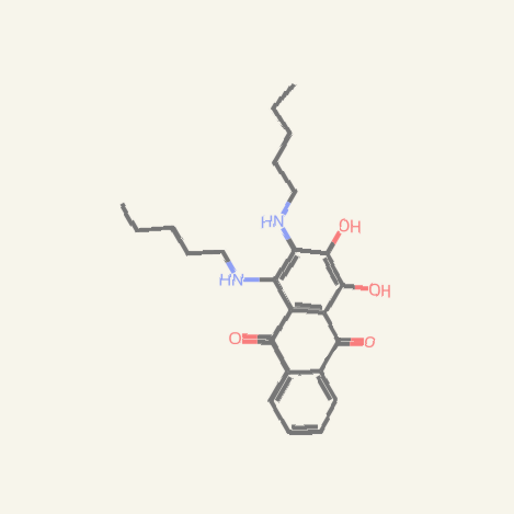 CCCCCNc1c(O)c(O)c2c(c1NCCCCC)C(=O)c1ccccc1C2=O